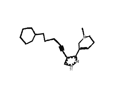 CN1CCC=C(c2n[nH]cc2C#CCCCC2CCCCC2)C1